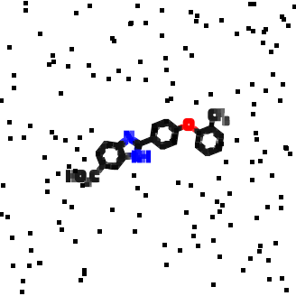 O=C(O)c1ccc2nc(-c3ccc(Oc4ccccc4C(F)(F)F)cc3)[nH]c2c1